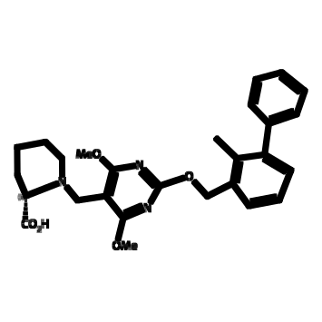 COc1nc(OCc2cccc(-c3ccccc3)c2C)nc(OC)c1CN1CCCC[C@H]1C(=O)O